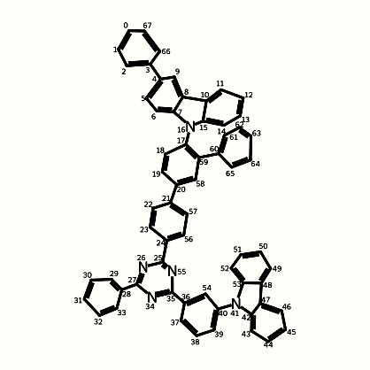 c1ccc(-c2ccc3c(c2)c2ccccc2n3-c2ccc(-c3ccc(-c4nc(-c5ccccc5)nc(-c5cccc(-n6c7ccccc7c7ccccc76)c5)n4)cc3)cc2-c2ccccc2)cc1